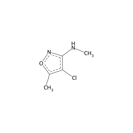 CNc1noc(C)c1Cl